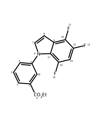 CCOC(=O)c1cccc(-n2ccc3c(F)c(F)cc(F)c32)c1